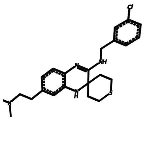 CN(C)CCc1ccc2c(c1)NC1(CCSCC1)C(NCc1cccc(Cl)c1)=N2